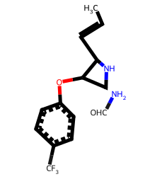 CC=CC1NCC1Oc1ccc(C(F)(F)F)cc1.NC=O